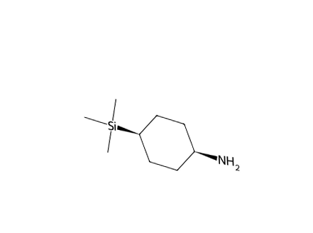 C[Si](C)(C)[C@H]1CC[C@@H](N)CC1